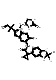 CC(C)(C=O)c1cc2cc(NC(=O)C3(c4ccc5c(c4)OC(F)(F)O5)CC3)c(F)cc2n1C[C@@H]1COC(=O)O1